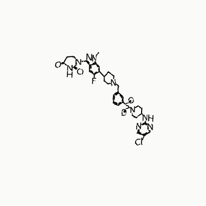 Cn1nc(N2CCC(=O)NC2=O)c2cc(F)c(C3CCN(Cc4cccc(S(=O)(=O)N5CCC(Nc6ncc(Cl)cn6)CC5)c4)CC3)cc21